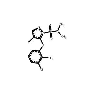 Cc1c(Cl)cccc1Sc1c(I)cnn1S(=O)(=O)N(C)C